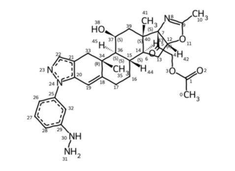 CC(=O)OCC(=O)[C@@]12N=C(C)O[C@@H]1C[C@H]1[C@@H]3CCC4=Cc5c(cnn5-c5cccc(NN)c5)C[C@]4(C)[C@H]3[C@@H](O)C[C@@]12C